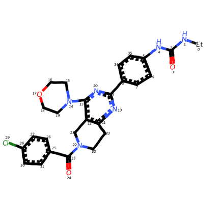 CCNC(=O)Nc1ccc(-c2nc3c(c(N4CCOCC4)n2)CN(C(=O)c2ccc(Cl)cc2)CC3)cc1